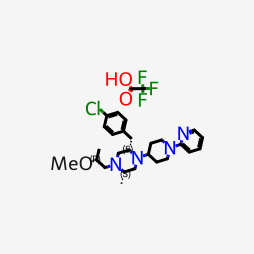 CO[C@H](C)CN1C[C@H](Cc2ccc(Cl)cc2)N(C2CCN(c3ccccn3)CC2)C[C@@H]1C.O=C(O)C(F)(F)F